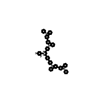 Fc1ccc(-c2nc(-c3ccc(-c4ccc(-n5c6ccccc6c6cc(-c7ccc8c(c7)c7ccccc7n8-c7ccccc7)ccc65)cc4)cc3)cc(-c3ccc(-n4c5ccccc5c5cc(-c6ccc7c(c6)c6ccccc6n7-c6ccccc6)ccc54)cc3)n2)c(F)c1